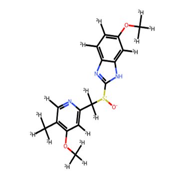 [2H]c1nc(C([2H])([2H])[S+]([O-])c2nc3c([2H])c([2H])c(OC([2H])([2H])[2H])c([2H])c3[nH]2)c([2H])c(OC([2H])([2H])[2H])c1C([2H])([2H])[2H]